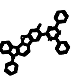 Cc1cc2c(cc1-c1nc(-c3ccccc3)nc(-c3ccccc3)n1)C1C=Cc3c(c4ccccc4n3-c3ccccc3)C1O2